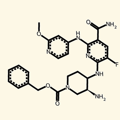 COc1cc(Nc2nc(NC3CCN(C(=O)OCc4ccccc4)C[C@@H]3N)c(F)cc2C(N)=O)ccn1